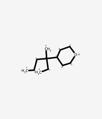 CCCC(C)(CC)C1CCOCC1